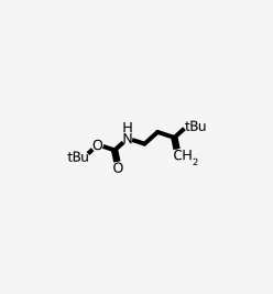 C=C(CCNC(=O)OC(C)(C)C)C(C)(C)C